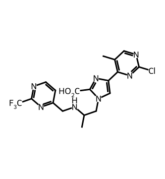 Cc1cnc(Cl)nc1-c1cn(CC(C)NCc2ccnc(C(F)(F)F)n2)c(C(=O)O)n1